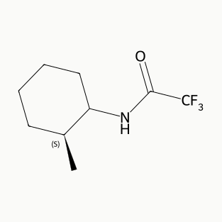 C[C@H]1CCCCC1NC(=O)C(F)(F)F